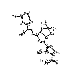 CC1(C)OC2C(COC(O)c3cccc(F)c3)OC(n3cnc(C(N)=O)c3O)C2O1